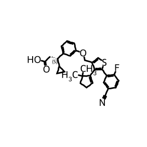 CC1(C)CCC=C1c1c(COc2cccc([C@@H](CC(=O)O)C3CC3)c2)csc1-c1cc(C#N)ccc1F